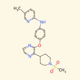 Cc1ccc(Nc2ccc(Oc3nccnc3C3CCN(S(C)(=O)=O)CC3)cc2)nc1